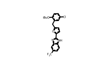 CC(C)COc1ccc(Cl)cc1Cc1ccc(-c2nc3cc(C(F)(F)F)ccc3[nH]2)o1